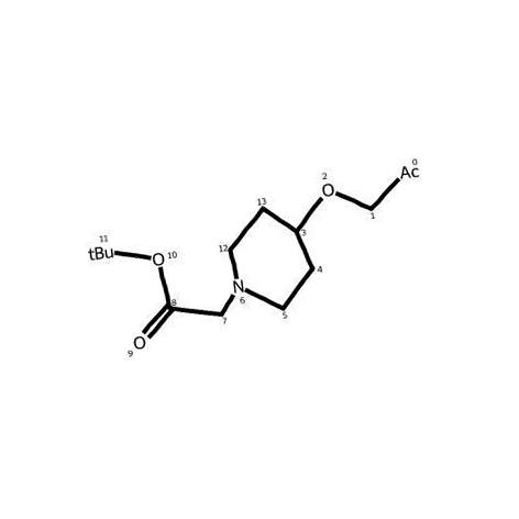 CC(=O)COC1CCN(CC(=O)OC(C)(C)C)CC1